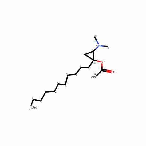 CCCCCCCCCCCCCCCCCCCCC1(OC(=O)CCC)CC1N(C)C